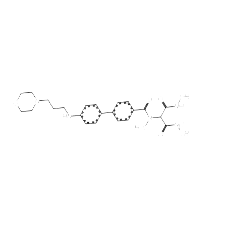 CNC(=O)C(C(=O)NO)N(C)C(=O)c1ccc(-c2ccc(NCCCN3CCOCC3)cc2)cc1